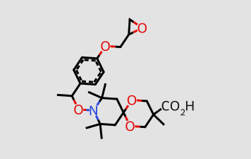 CC(ON1C(C)(C)CC2(CC1(C)C)OCC(C)(C(=O)O)CO2)c1ccc(OCC2CO2)cc1